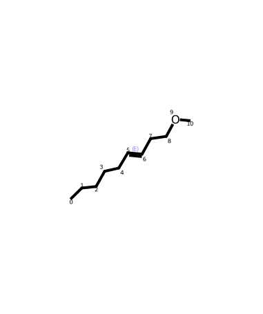 CCCCC/C=C/CCOC